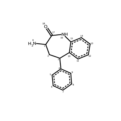 NC1CC(c2ccccc2)c2ccccc2NC1=O